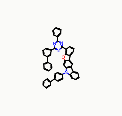 c1ccc(-c2ccc(-n3c4ccccc4c4cc5c(cc43)oc3c(-c4nc(-c6ccccc6)nc(-c6cccc(-c7ccccc7)c6)n4)cccc35)cc2)cc1